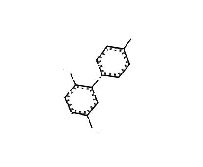 COc1ccc(C(C)C)c(-c2ccc(O)cc2)c1